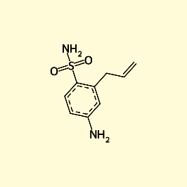 C=CCc1cc(N)ccc1S(N)(=O)=O